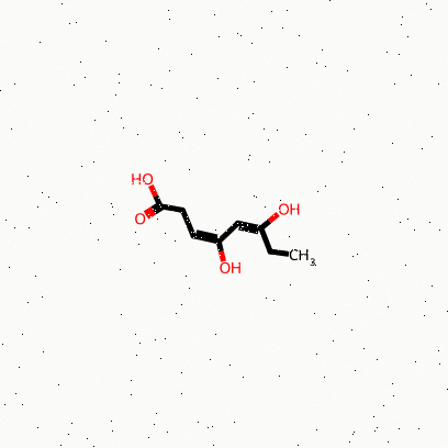 CC/C(O)=C\C(O)=C/CC(=O)O